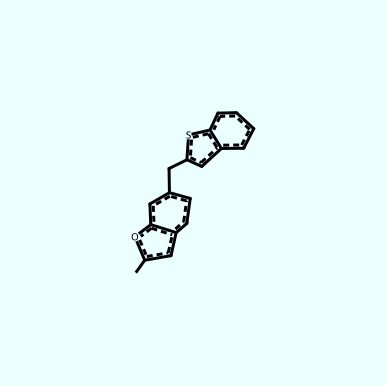 Cc1cc2ccc(Cc3cc4ccccc4s3)cc2o1